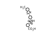 Cc1ccc2nc(-c3ccc(NS(=O)(=O)c4cccc(C(=O)O)c4)cc3)sc2c1